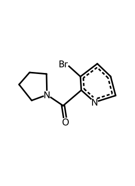 O=C(c1ncccc1Br)N1CCCC1